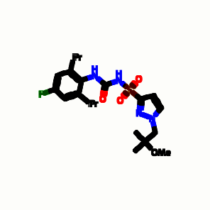 COC(C)(C)Cn1ccc(S(=O)(=O)NC(=O)Nc2c(C(C)C)cc(F)cc2C(C)C)n1